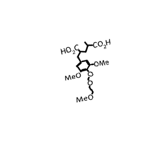 COCCOCOc1c(OC)cc(CC(CC(C)C(=O)O)C(=O)O)cc1OC